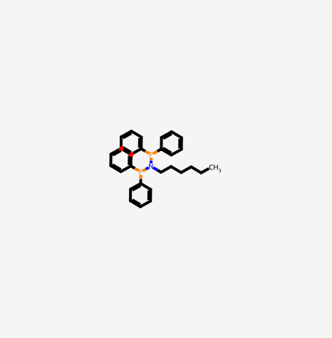 CCCCCCN(P(c1ccccc1)c1ccccc1)P(c1ccccc1)c1ccccc1